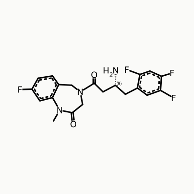 CN1C(=O)CN(C(=O)C[C@H](N)Cc2cc(F)c(F)cc2F)Cc2ccc(F)cc21